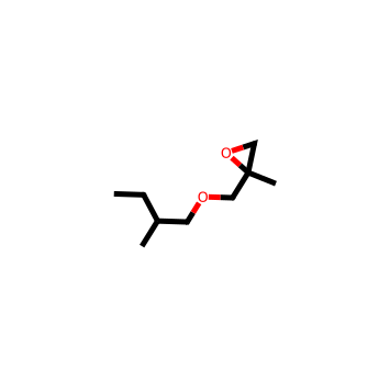 CCC(C)COCC1(C)CO1